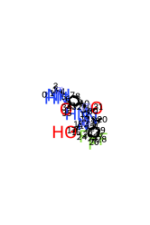 CN/C(C)=C\Nc1ccc(/C=C2\N/C(=N\CCO)N(C(C)c3cc(F)c(F)c(F)c3)C2=O)cc1OC